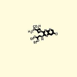 CCOC(CNc1nc2cc(Cl)cnc2nc1N1CC(N(C)C(=O)O)C1)OCC